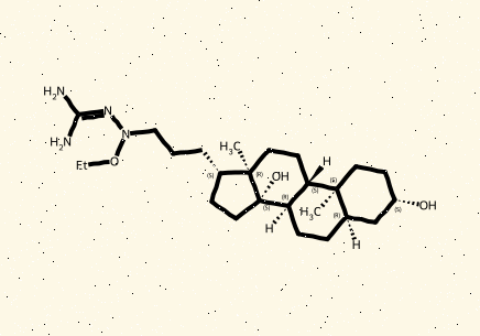 CCON(CCC[C@H]1CC[C@]2(O)[C@@H]3CC[C@@H]4C[C@@H](O)CC[C@]4(C)[C@H]3CC[C@]12C)N=C(N)N